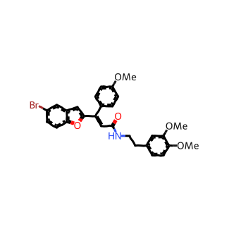 COc1ccc(C(=CC(=O)NCCc2ccc(OC)c(OC)c2)c2cc3cc(Br)ccc3o2)cc1